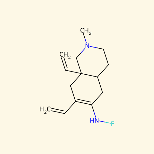 C=CC1=C(NF)CC2CCN(C)CC2(C=C)C1